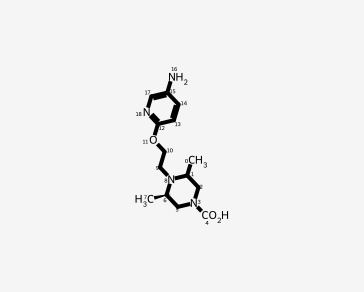 CC1CN(C(=O)O)C[C@@H](C)N1CCOc1ccc(N)cn1